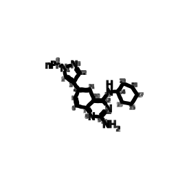 CCCn1cc(-c2ccc3nc(N)nc(NC4CCCCC4)c3c2)cn1